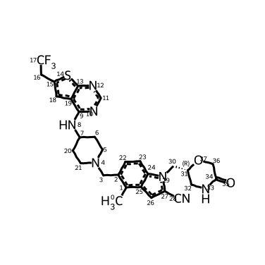 Cc1c(CN2CCC(Nc3ncnc4sc(CC(F)(F)F)cc34)CC2)ccc2c1cc(C#N)n2C[C@H]1CNC(=O)CO1